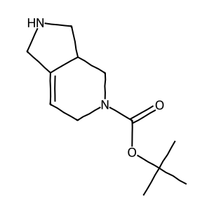 CC(C)(C)OC(=O)N1CC=C2CNCC2C1